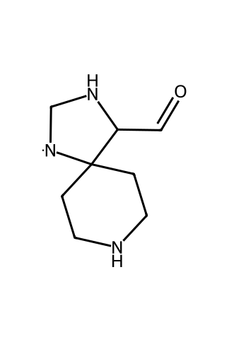 O=CC1NC[N]C12CCNCC2